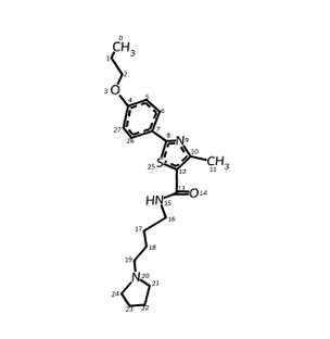 CCCOc1ccc(-c2nc(C)c(C(=O)NCCCCN3CCCC3)s2)cc1